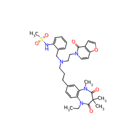 CCN1C(=O)C(C)(C)C(=O)N(C)c2cc(CCCN(CCn3ccc4occc4c3=O)Cc3ccccc3NS(C)(=O)=O)ccc21